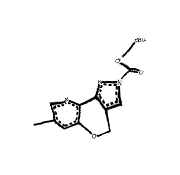 Cc1cnc2c(c1)OCc1cn(C(=O)OC(C)(C)C)nc1-2